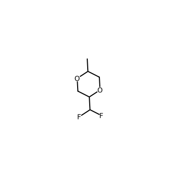 CC1COC(C(F)F)CO1